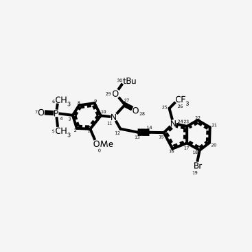 COc1cc(P(C)(C)=O)ccc1N(CC#Cc1cc2c(Br)cccc2n1CC(F)(F)F)C(=O)OC(C)(C)C